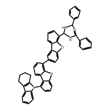 c1ccc(C2=NC(c3ccccc3)NC(c3cccc4c3oc3ccc(-c5cccc6c5oc5cccc(-n7c8c(c9ccccc97)CCCC8)c56)cc34)N2)cc1